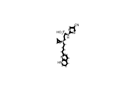 N#Cc1cnc(NC(CCN(CCCCc2ccc3c(n2)NCCC3)C2CC2)C(=O)O)nc1